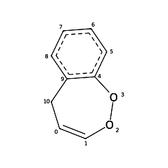 C1=COOc2ccccc2C1